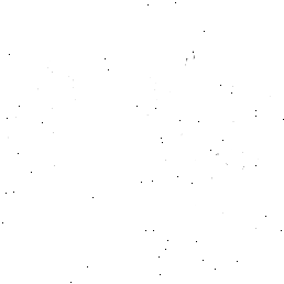 CC[C@H]1OC(=O)[C@@](C)(F)C(=O)[C@H](C)[C@@H](O[C@@H]2OC(C)CC(N(C)C)C2O)[C@](C)(OC)C[C@@H](C)C(=O)[C@H](C)[C@H]2N(CC#CCn3cc(-c4cccc(N)n4)nn3)C(=O)O[C@]12C